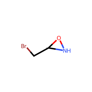 BrC[C]1NO1